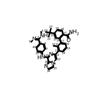 C/N=C(/NC)c1ccc(Nc2nc(-c3cccc(-c4cc(C(C)(C)C)ccc4C(N)=O)c3C)cn3ccnc23)cc1